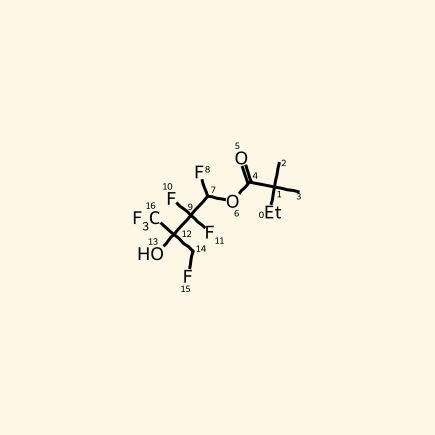 CCC(C)(C)C(=O)OC(F)C(F)(F)C(O)(CF)C(F)(F)F